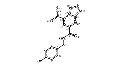 O=C(NCc1ccc(F)cc1)c1cc(C(=O)S)n2ncnc2n1